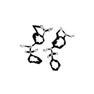 CN(c1ccc2c(c1)COB2O)S(=O)(=O)c1ccccc1.CN(c1ccc2c(c1)COB2O)S(=O)(=O)c1ccccc1